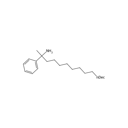 CCCCCCCCCCCCCCCCCCC(C)(N)c1ccccc1